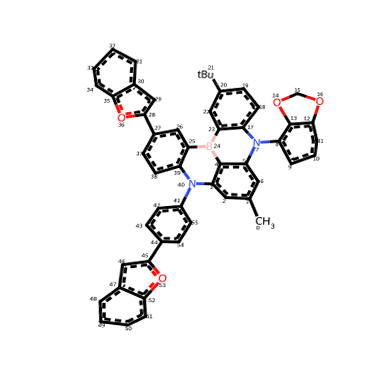 Cc1cc2c3c(c1)N(c1cccc4c1OCO4)c1ccc(C(C)(C)C)cc1B3c1cc(-c3cc4ccccc4o3)ccc1N2c1ccc(-c2cc3ccccc3o2)cc1